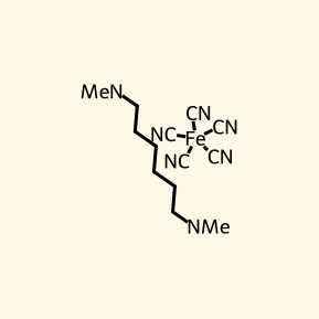 CNCCCCCCNC.N#[C][Fe]([C]#N)([C]#N)([C]#N)[C]#N